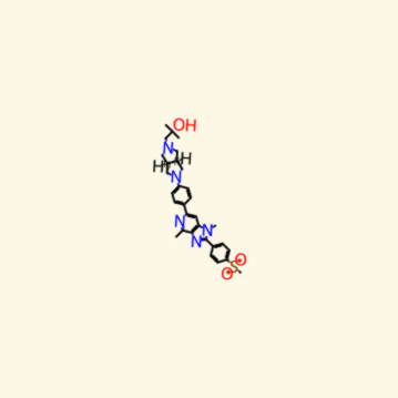 Cc1nc(-c2ccc(N3C[C@H]4CN(CC(C)(C)O)C[C@H]4C3)cc2)cc2c1nc(-c1ccc(S(C)(=O)=O)cc1)n2C